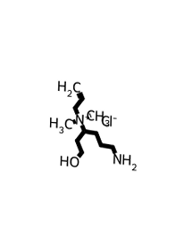 C=CC[N+](C)(C)C(CCO)CCCN.[Cl-]